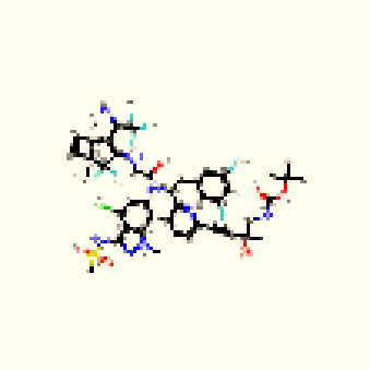 Cn1nc(NS(C)(=O)=O)c2c(Cl)ccc(-c3ccc(C#CC(C)(O)CNC(=O)OC(C)(C)C)nc3C(Cc3cc(F)cc(F)c3)NC(=O)CNC3=C(C(=N)C(F)(F)F)[C@H]4C#C[C@H]4C3(F)F)c21